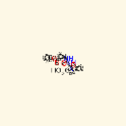 O=C(NCC(=O)N1C(c2ccccc2)CC[C@H]1C(=O)O)Nc1cccc(C(=O)OCc2ccccc2)c1